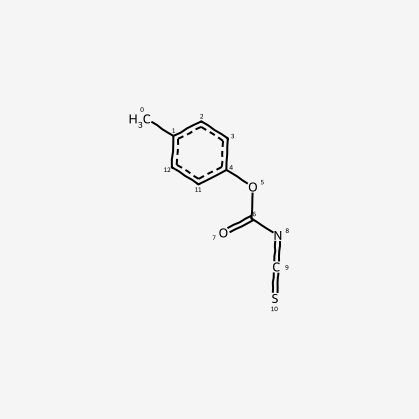 Cc1ccc(OC(=O)N=C=S)cc1